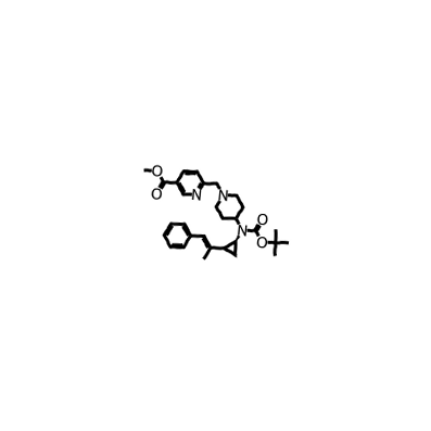 COC(=O)c1ccc(CN2CCC(N(C(=O)OC(C)(C)C)[C@H]3CC3C(C)=Cc3ccccc3)CC2)nc1